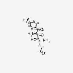 CCSCC[C@@H](N)C(O)C(=O)N(N)C(=O)c1ccc(C)cc1